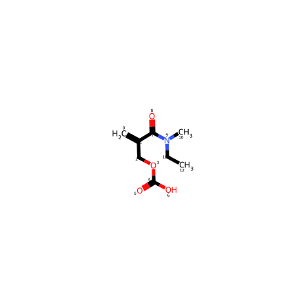 C=C(COC(=O)O)C(=O)N(C)CC